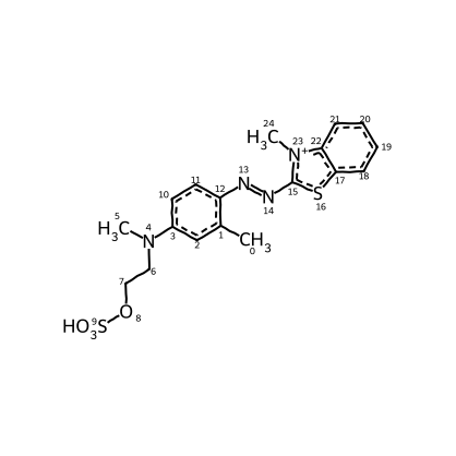 Cc1cc(N(C)CCOS(=O)(=O)O)ccc1N=Nc1sc2ccccc2[n+]1C